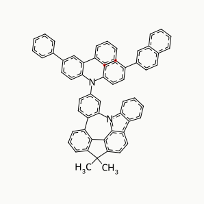 CC1(C)c2cccc3c2-c2c1ccc1c4ccccc4n(c21)-c1cc(N(c2ccc(-c4ccc5ccccc5c4)cc2)c2ccc(-c4ccccc4)cc2-c2ccccc2)ccc1-3